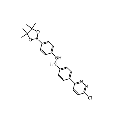 CC1(C)OB(c2ccc(NNc3ccc(-c4ccc(Cl)nn4)cc3)cc2)OC1(C)C